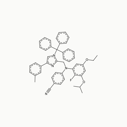 CCOc1cc(OC(C)C)c(F)c(N(Cc2nc(-c3cccc(C)c3)cn2C(c2ccccc2)(c2ccccc2)c2ccccc2)c2ccc(C#N)cc2)c1